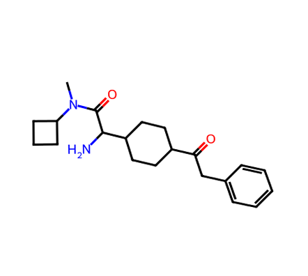 CN(C(=O)C(N)C1CCC(C(=O)Cc2ccccc2)CC1)C1CCC1